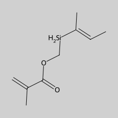 C=C(C)C(=O)OC[SiH2]C(C)=CC